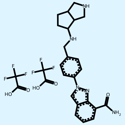 NC(=O)c1cccc2cn(-c3ccc(CNC4CCC5CNCC54)cc3)nc12.O=C(O)C(F)(F)F.O=C(O)C(F)(F)F